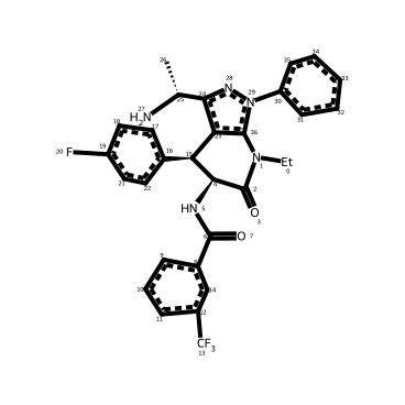 CCN1C(=O)[C@@H](NC(=O)c2cccc(C(F)(F)F)c2)[C@@H](c2ccc(F)cc2)c2c([C@@H](C)N)nn(-c3ccccc3)c21